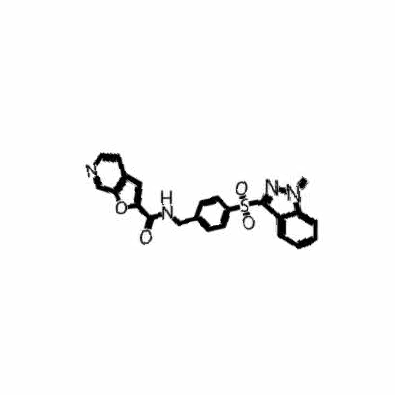 Cn1nc(S(=O)(=O)c2ccc(CNC(=O)c3cc4ccncc4o3)cc2)c2ccccc21